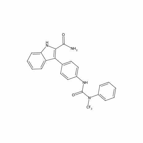 NC(=O)c1[nH]c2ccccc2c1-c1ccc(NC(=O)N(c2ccccc2)C(F)(F)F)cc1